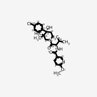 COc1ccc(C(=O)N[C@@H](C(=O)N2CC[C@](O)(c3ccc(Cl)cc3)C(C)(C)C2)C(C)C)cn1